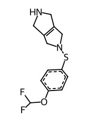 FC(F)Oc1ccc(SN2CC3=C(CNC3)C2)cc1